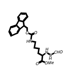 COC(=O)C(CCCCNC(=O)OCC1c2ccccc2-c2ccccc21)NBC=O